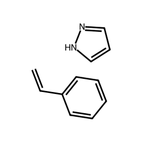 C=Cc1ccccc1.c1cn[nH]c1